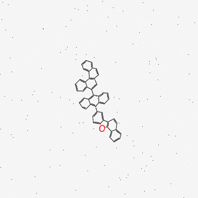 c1ccc2c(c1)ccc1c3cc(-c4c5ccccc5c(-c5cc6ccc7ccccc7c6c6ccccc56)c5ccccc45)ccc3oc21